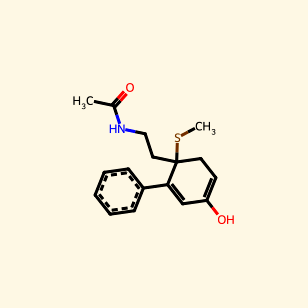 CSC1(CCNC(C)=O)CC=C(O)C=C1c1ccccc1